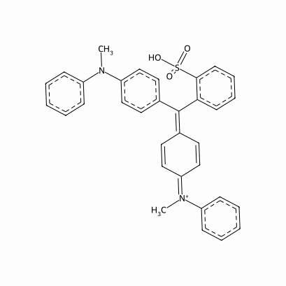 CN(c1ccccc1)c1ccc(C(=C2C=CC(=[N+](C)c3ccccc3)C=C2)c2ccccc2S(=O)(=O)O)cc1